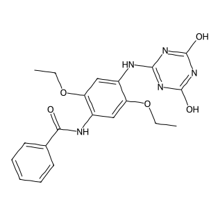 CCOc1cc(Nc2nc(O)nc(O)n2)c(OCC)cc1NC(=O)c1ccccc1